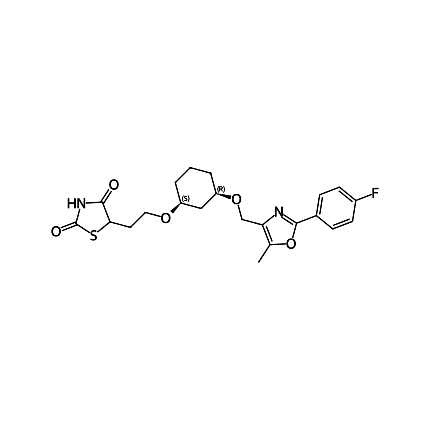 Cc1oc(-c2ccc(F)cc2)nc1CO[C@@H]1CCC[C@H](OCCC2SC(=O)NC2=O)C1